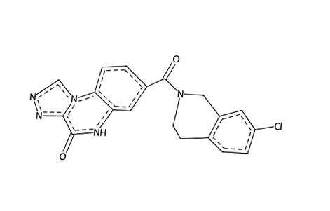 O=C(c1ccc2c(c1)[nH]c(=O)c1nncn12)N1CCc2ccc(Cl)cc2C1